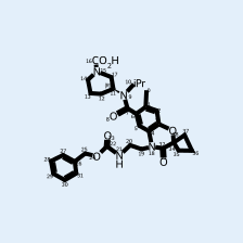 Cc1cc2c(cc1C(=O)N(C(C)C)[C@@H]1CCCN(C(=O)O)C1)N(CCNC(=O)OCc1ccccc1)C(=O)C1(CCC1)O2